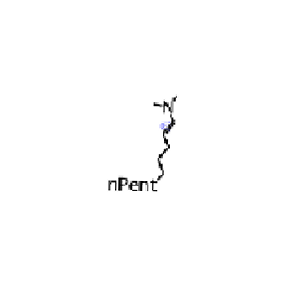 CCCCCCCC/C=C/N(C)C